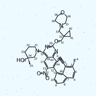 C#Cc1c(F)ccc2cccc(-c3c([N+](=O)[O-])cc4c(N5CCC[C@@](C)(O)C5)nc(OCC5(CN6CCOCC6)CC5)nc4c3F)c12